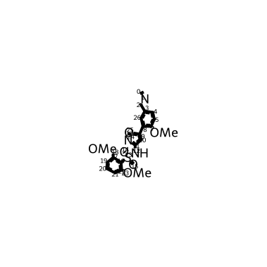 C=NCc1ccc(OC)c(-c2cc(NS(=O)(=O)c3c(OC)cccc3OC)no2)c1